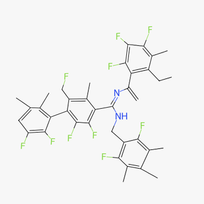 C=C(/N=C(\NCc1c(F)c(C)c(C)c(C)c1F)c1c(C)c(CF)c(-c2c(C)c(C)cc(F)c2F)c(F)c1F)c1c(F)c(F)c(F)c(C)c1CC